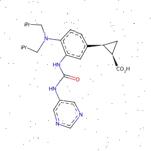 CC(C)CN(CC(C)C)c1ccc([C@H]2C[C@H]2C(=O)O)cc1NC(=O)Nc1cncnc1